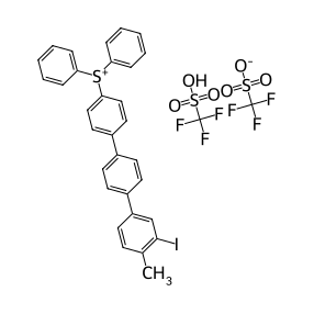 Cc1ccc(-c2ccc(-c3ccc([S+](c4ccccc4)c4ccccc4)cc3)cc2)cc1I.O=S(=O)(O)C(F)(F)F.O=S(=O)([O-])C(F)(F)F